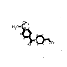 CC(C)CC1CCN(C(=O)c2ccc(N(C)C)cc2)CC1